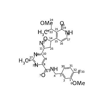 COc1cc(CNC(=O)c2cc(C3=NOC(c4cc[nH]c(=O)c4C(C)OC)C3)nc(C)n2)ccc1F